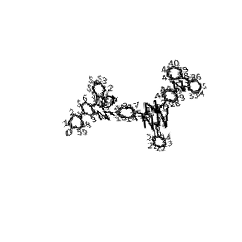 c1ccc(-c2ccc3c(c2)nc(-c2ccc(-c4nc(-c5ccccc5)nc(-c5ccc(-n6c7ccccc7c7ccccc76)cc5)n4)cc2)c2oc4ccccc4c23)cc1